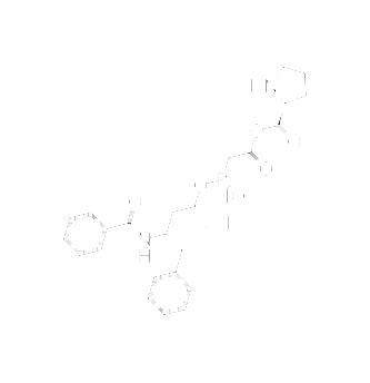 CC(CC(Cc1ccccc1)NC(=O)c1ccccc1)O[PH](=O)CC(=O)OC(=O)[C@@H]1CCCN1